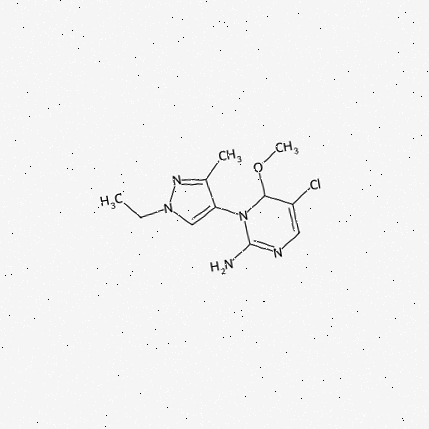 CCn1cc(N2C(N)=NC=C(Cl)C2OC)c(C)n1